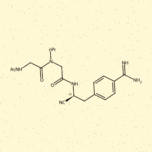 CCCN(CC(=O)N[C@H](C#N)Cc1ccc(C(=N)N)cc1)C(=O)CNC(C)=O